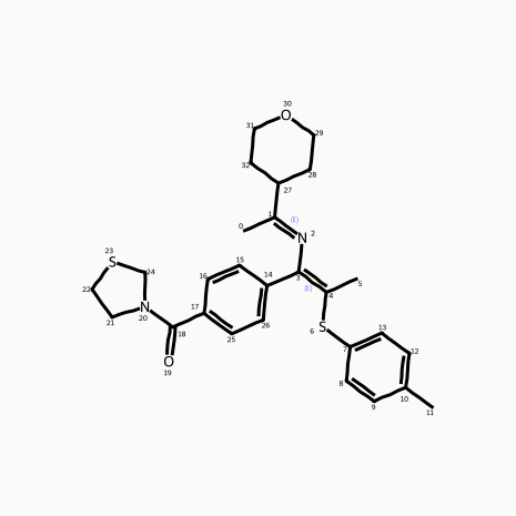 C/C(=N\C(=C(/C)Sc1ccc(C)cc1)c1ccc(C(=O)N2CCSC2)cc1)C1CCOCC1